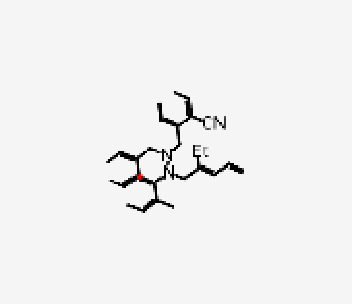 C=C/C=C(\CC)CN(C(=C/C)/C(C)=C\C)N(CC(/C=C\C)=C/C)CC(=C/C)/C(C#N)=C\C